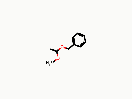 CC(O[SiH3])OCc1ccccc1